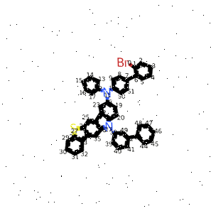 Brc1ccccc1-c1ccc(N(c2ccccc2)c2ccc3c(c2)c2cc4sc5ccccc5c4cc2n3-c2cccc(-c3ccccc3)c2)cc1